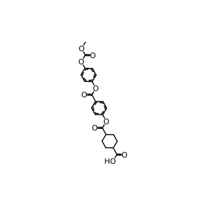 COC(=O)Oc1ccc(OC(=O)c2ccc(OC(=O)C3CCC(C(=O)O)CC3)cc2)cc1